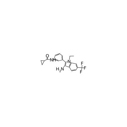 CCn1c(-c2cccc(NC(=O)C3CC3)c2)c(N)c2ccc(C(F)(F)F)cc21